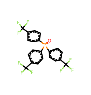 O=P(c1ccc(C(F)(F)F)cc1)(c1ccc(C(F)(F)F)cc1)c1ccc(C(F)(F)F)cc1